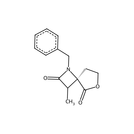 CC1C(=O)N(Cc2ccccc2)[C@]12CCOC2=O